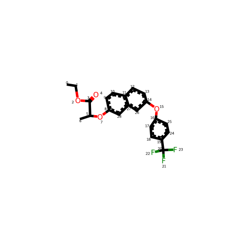 CCOC(=O)C(C)Oc1ccc2ccc(Oc3ccc(C(F)(F)F)cc3)cc2c1